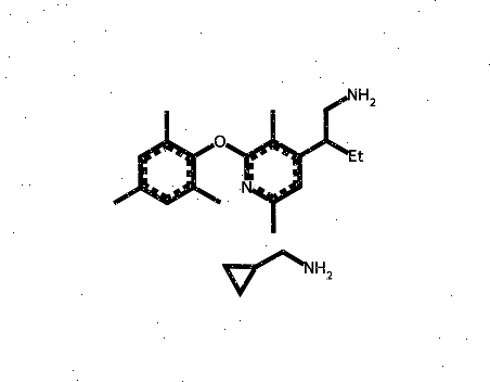 CCC(CN)c1cc(C)nc(Oc2c(C)cc(C)cc2C)c1C.NCC1CC1